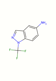 Nc1ccc2c(cnn2C(F)(F)F)c1